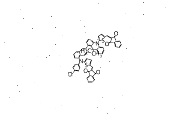 CC1(C)c2ccccc2N(c2ccc(C=C3C(=O)c4ccccc4C3=O)s2)c2cccc(-c3ccc4c(N(c5ccc(Cl)cc5)c5ccc(C=C6C(=O)c7ccccc7C6=O)s5)cccc4c3)c21